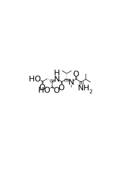 CC(C)[C@H](N)C(=O)N(C)[C@H](C(=O)N[C@@H](CC(=O)O)C(=O)O)C(C)C